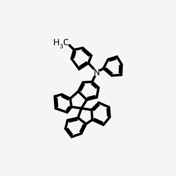 Cc1ccc(N(c2ccccc2)c2ccc3c(c2)-c2ccccc2C32c3ccccc3-c3ccccc32)cc1